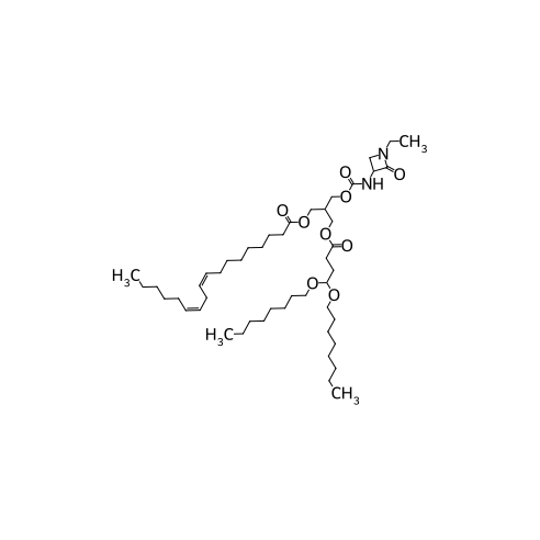 CCCCC/C=C\C/C=C\CCCCCCCC(=O)OCC(COC(=O)CCC(OCCCCCCCC)OCCCCCCCC)COC(=O)NC1CN(CC)C1=O